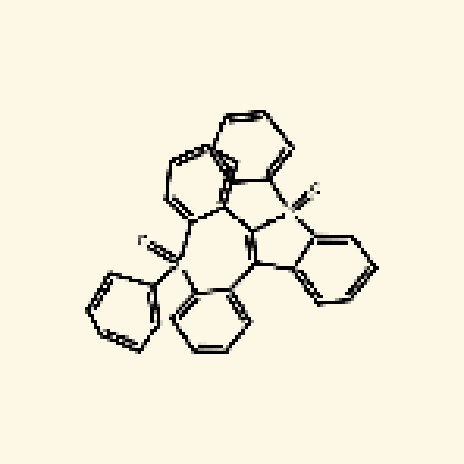 O=P1(c2ccccc2)C2=C(c3ccccc31)c1ccccc1P(=O)(c1ccccc1)c1ccccc12